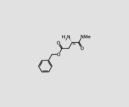 CNC(=O)[C@@H](N)CC(=O)OCc1ccccc1